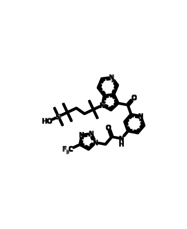 CC(C)(CCC(C)(C)[Si](C)(C)O)n1cc(C(=O)c2cc(NC(=O)Cn3cc(C(F)(F)F)nn3)ccn2)c2cnccc21